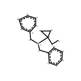 CCC1(N(Cc2ccccc2)Cc2ccccc2)CC1